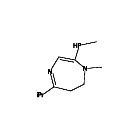 CPC1=CN=C(C(C)C)CCN1C